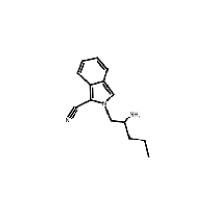 CCCC(N)Cn1cc2ccccc2c1C#N